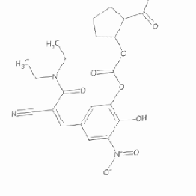 CCN(CC)C(=O)C(C#N)=Cc1cc(OC(=O)OC2CCCC2C(=O)OC)c(O)c([N+](=O)[O-])c1